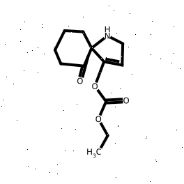 CCOC(=O)OC1=CCNC12CCCCC2=O